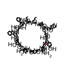 CCCC[C@H]1C(=O)N(C)[C@@H](CCCC)C(=O)N[C@@H](CC(C)C)C(=O)N[C@H](C(=O)NCC(=O)N2CCN(C)CC2)CSCC(=O)N[C@@H](Cc2ccc(O)cc2)C(=O)N(C)[C@@H](C)C(=O)N[C@@H](CC(N)=O)C(=O)N2CCC[C@H]2C(=O)N[C@@H](CN)C(=O)N[C@@H](CC(C)C)C(=O)N2C[C@H](O)C[C@H]2C(=O)N[C@@H](Cc2c[nH]c3ccccc23)C(=O)NCC(=O)N[C@@H](Cc2c[nH]c3ccccc23)C(=O)N1C